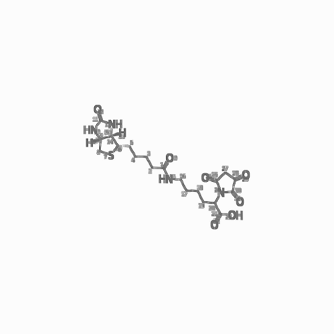 O=C(CCCC[C@@H]1SC[C@@H]2NC(=O)N[C@@H]21)NCCCCC(C(=O)O)N1C(=O)CC(=O)C1=O